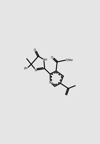 C=C(C)c1cnc(C2=NC(C)(C(C)C)C(=O)N2)c(C(=O)OC)c1